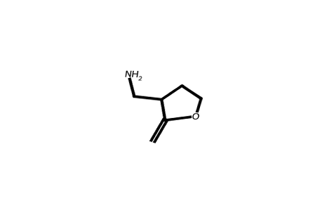 C=C1OCCC1CN